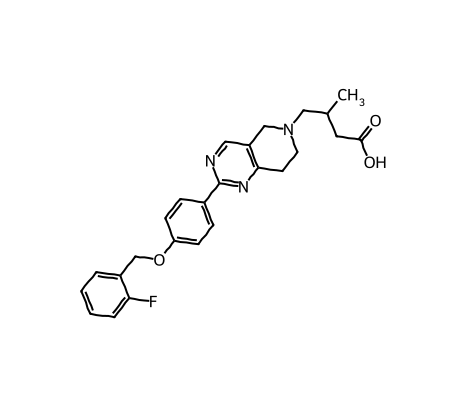 CC(CC(=O)O)CN1CCc2nc(-c3ccc(OCc4ccccc4F)cc3)ncc2C1